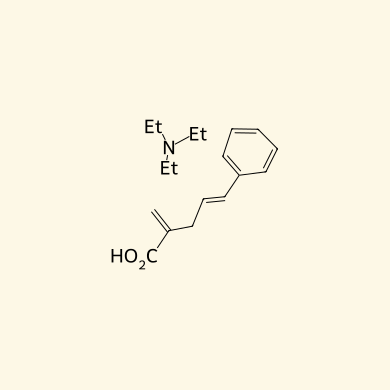 C=C(CC=Cc1ccccc1)C(=O)O.CCN(CC)CC